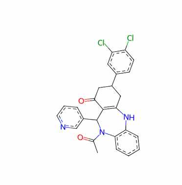 CC(=O)N1c2ccccc2NC2=C(C(=O)CC(c3ccc(Cl)c(Cl)c3)C2)C1c1cccnc1